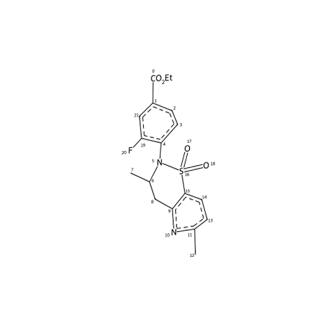 CCOC(=O)c1ccc(N2C(C)Cc3nc(C)ccc3S2(=O)=O)c(F)c1